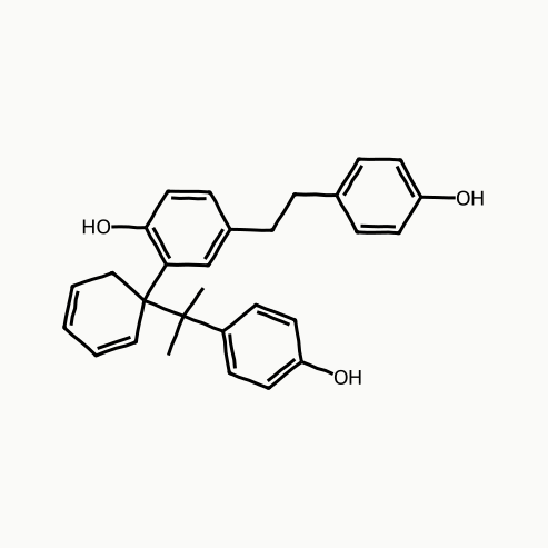 CC(C)(c1ccc(O)cc1)C1(c2cc(CCc3ccc(O)cc3)ccc2O)C=CC=CC1